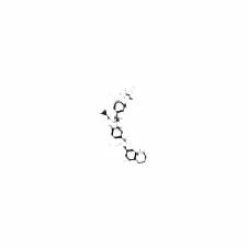 CN1CCCc2ccc(NC(=O)c3ccc(CN(C(=O)c4ccc5c(c4)OCC(=O)N5)C4CC4)cc3)cc21